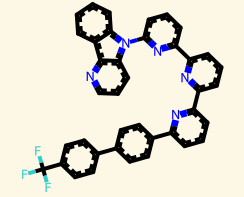 FC(F)(F)c1ccc(-c2ccc(-c3cccc(-c4cccc(-c5cccc(-n6c7ccccc7c7ncccc76)n5)n4)n3)cc2)cc1